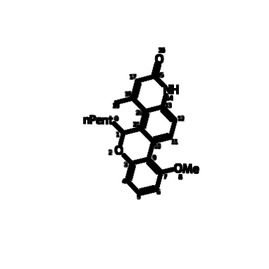 CCCCCC1Oc2cccc(OC)c2-c2ccc3[nH]c(=O)cc(C)c3c21